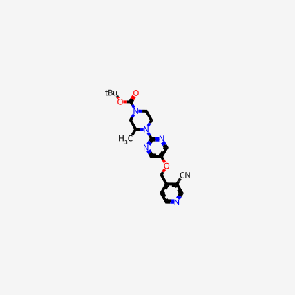 CC1CN(C(=O)OC(C)(C)C)CCN1c1ncc(OCc2ccncc2C#N)cn1